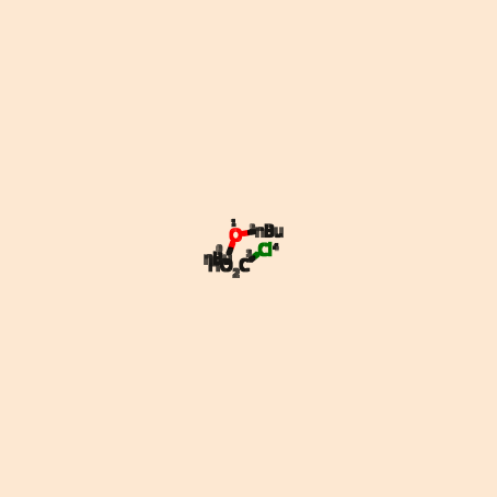 CCCCOCCCC.O=C(O)Cl